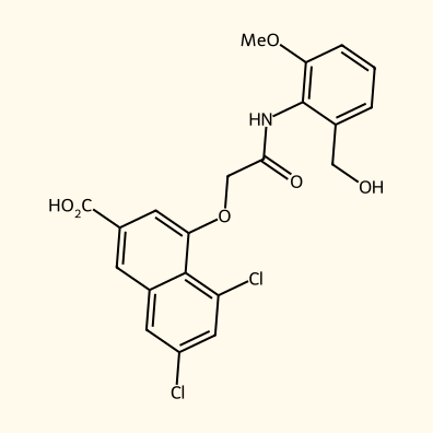 COc1cccc(CO)c1NC(=O)COc1cc(C(=O)O)cc2cc(Cl)cc(Cl)c12